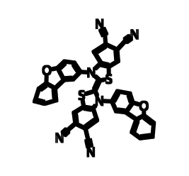 N#Cc1cc2c(cc1C#N)N(c1ccc3oc4ccccc4c3c1)/C(=C1\Sc3cc(C#N)c(C#N)cc3N1c1ccc3oc4ccccc4c3c1)S2